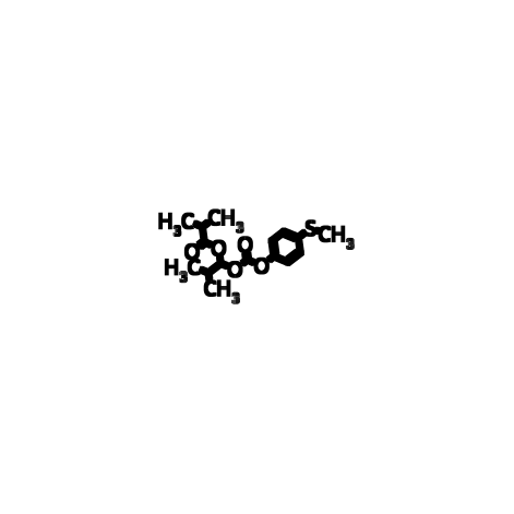 CSc1ccc(OC(=O)OC(OC(=O)C(C)C)C(C)C)cc1